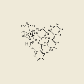 Cc1ccccc1P(Cc1cc(-c2ccccc2)ccc1C1(CP)C2CC3CC(C2)CC1C3)c1ccccc1C